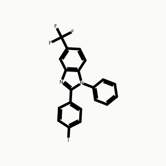 FC(F)(F)c1ccc2c(c1)nc(-c1ccc(I)cc1)n2-c1ccccc1